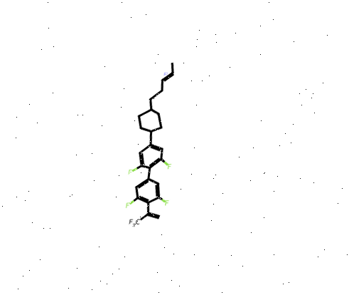 C=C(c1c(F)cc(-c2c(F)cc(C3CCC(CC/C=C/C)CC3)cc2F)cc1F)C(F)(F)F